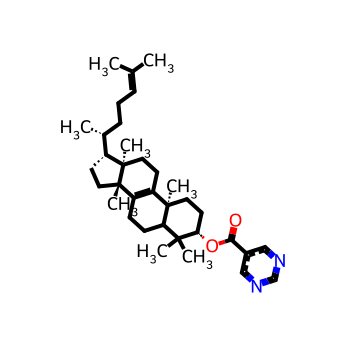 CC(C)=CCC[C@@H](C)[C@H]1CC[C@@]2(C)C3=C(CC[C@]12C)[C@@]1(C)CC[C@H](OC(=O)c2cncnc2)C(C)(C)C1CC3